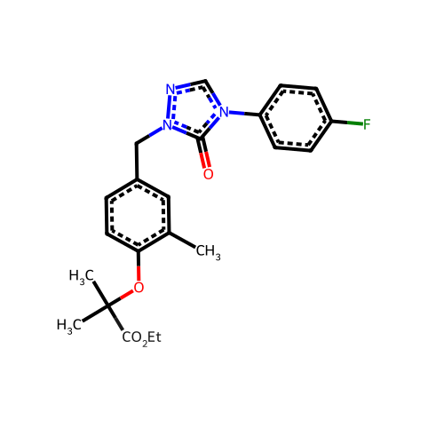 CCOC(=O)C(C)(C)Oc1ccc(Cn2ncn(-c3ccc(F)cc3)c2=O)cc1C